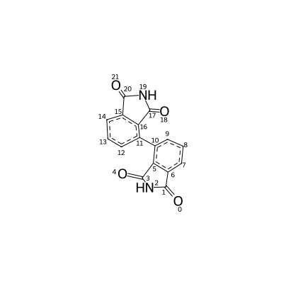 O=C1NC(=O)c2c1cccc2-c1cccc2c1C(=O)NC2=O